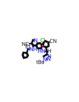 [2H]C(Nc1cc(Cl)c2ncc(C#N)c(NC(CC)c3ccccc3)c2c1)(c1cccc(C#N)c1)c1cn(C(C)(C)C)nn1